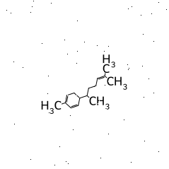 CC(C)=CCCC(C)C1C=CC(C)=CC1